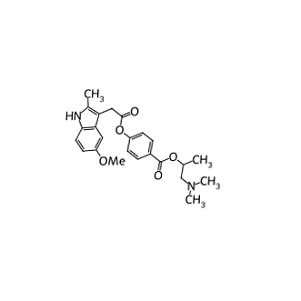 COc1ccc2[nH]c(C)c(CC(=O)Oc3ccc(C(=O)OC(C)CN(C)C)cc3)c2c1